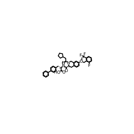 O=C(O)[C@H](Cc1ccc(-c2ccccc2)cc1)NC(=O)[C@@H]1Cc2ccc(OCc3c(F)cccc3C(F)(F)F)cc2CN1C(=O)CC1CCCC1